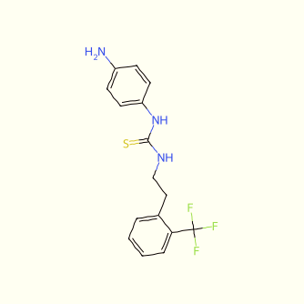 Nc1ccc(NC(=S)NCCc2ccccc2C(F)(F)F)cc1